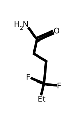 CCC(F)(F)CCC(N)=O